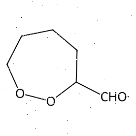 O=[C]C1CCCCOO1